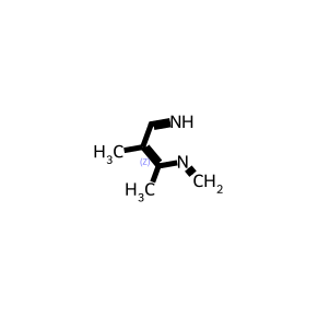 C=N/C(C)=C(/C)C=N